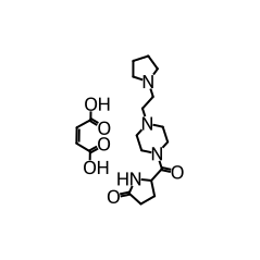 O=C(O)/C=C\C(=O)O.O=C1CCC(C(=O)N2CCN(CCN3CCCC3)CC2)N1